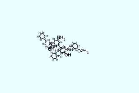 COc1cccc(CNC[C@@H](O)[C@H](Cc2ccccc2)NC(=O)c2cc(N)cc(N3CC(c4ccccc4)CCS3(O)O)c2)c1